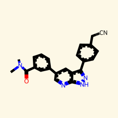 CN(C)C(=O)c1cccc(-c2cnc3[nH]nc(-c4ccc(CC#N)cc4)c3c2)c1